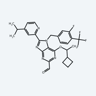 CC(C)c1ccnc(-c2nc3nc(C=O)nc(OC(C)C4CCC4)c3n2Cc2ccc(C(F)(F)F)c(F)c2)c1